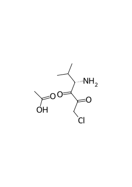 CC(=O)O.CC(C)[C@H](N)C(=O)C(=O)CCl